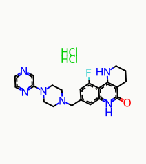 Cl.Cl.O=c1[nH]c2cc(CN3CCN(c4cnccn4)CC3)cc(F)c2c2c1CCCN2